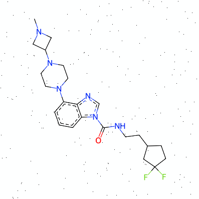 CN1CC(N2CCN(c3cccc4c3ncn4C(=O)NCCC3CCC(F)(F)C3)CC2)C1